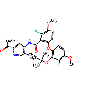 BC(B)(B)Oc1c(Oc2ccc(OC(F)(F)F)c(F)c2C(=O)Nc2cc(C(=O)OC)ncc2C)ccc(OC(F)(F)F)c1F